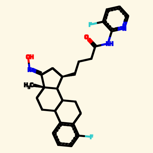 C[C@]12CCC3c4cccc(F)c4CCC3C1[C@H](CCCC(=O)Nc1ncccc1F)C/C2=N\O